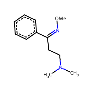 CO/N=C(/CCN(C)C)c1ccccc1